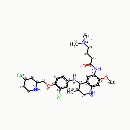 CCOc1cc2c(cc1NC(=O)CCCN(C)C)C(Nc1ccc(OCC3CC(Cl)CCN3)c(Cl)c1)C(C#N)CN2